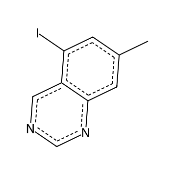 Cc1cc(I)c2cncnc2c1